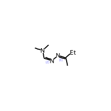 CC/C(C)=N/N=C\N(C)C